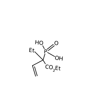 C=CC(CC)(C(=O)OCC)P(=O)(O)O